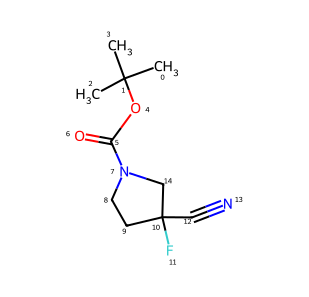 CC(C)(C)OC(=O)N1CCC(F)(C#N)C1